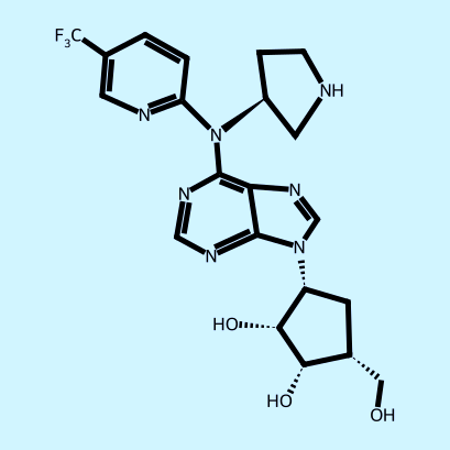 OC[C@H]1C[C@@H](n2cnc3c(N(c4ccc(C(F)(F)F)cn4)[C@H]4CCNC4)ncnc32)[C@@H](O)[C@H]1O